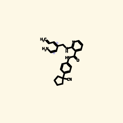 C=C/C=C(\C=C/N)CNc1ncccc1C(=O)Nc1ccc(C2(C#N)CCCC2)cc1